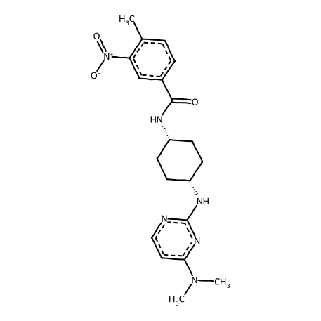 Cc1ccc(C(=O)N[C@H]2CC[C@@H](Nc3nccc(N(C)C)n3)CC2)cc1[N+](=O)[O-]